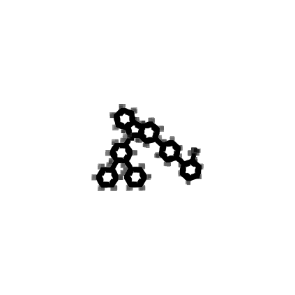 Brc1ccccc1-c1ccc(-c2ccc3c4ccccc4n(-c4ccc(-c5ccccc5)c(-c5ccccc5)c4)c3c2)cc1